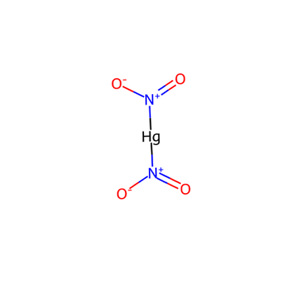 O=[N+]([O-])[Hg][N+](=O)[O-]